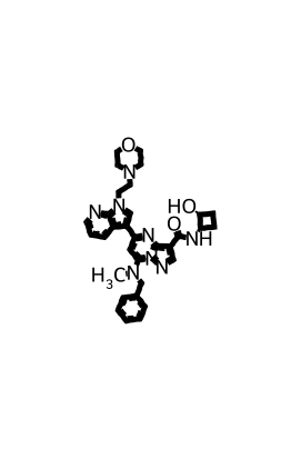 CN(Cc1ccccc1)c1cc(-c2cn(CCN3CCOCC3)c3ncccc23)nc2c(C(=O)N[C@@H]3CC[C@H]3O)cnn12